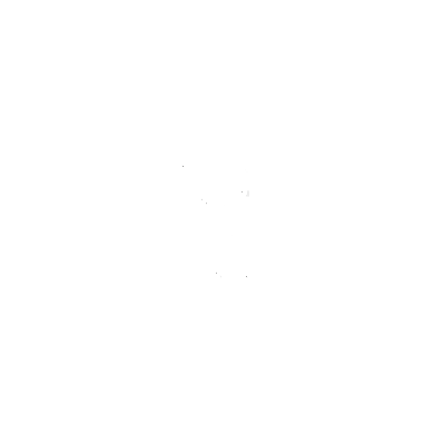 C[C@@H]1COCCN1c1nc(-c2cnn3ccccc23)[nH]c(=O)c1Cl